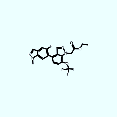 CCOC(=O)Cn1ncc2c(-c3cc4c(cnn4C)cc3F)ccc(OC(F)(F)F)c21